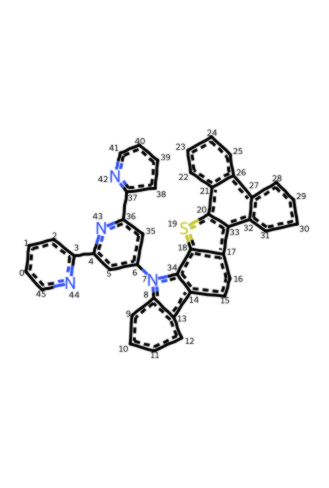 c1ccc(-c2cc(-n3c4ccccc4c4ccc5c(sc6c7ccccc7c7ccccc7c56)c43)cc(-c3ccccn3)n2)nc1